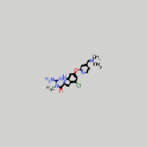 CN(C)Cc1ccnc(Oc2cc(Cl)c3cc(C(=O)N(C)C(=N)N)[nH]c3c2)c1